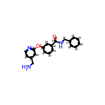 NCc1ccnc(Oc2cccc(C(=O)NCc3ccccc3)c2)c1